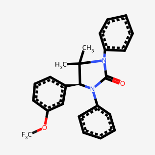 CC1(C)[C@H](c2cccc(OC(F)(F)F)c2)N(c2ccccc2)C(=O)N1c1ccccc1